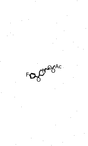 CC(=O)CC(=O)OCCN1CCC(C(=O)c2ccc(F)cc2)CC1